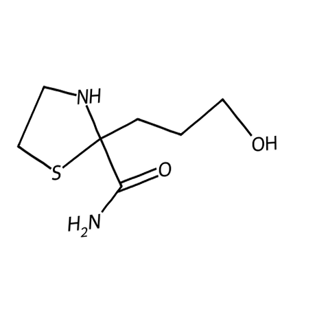 NC(=O)C1(CCCO)NCCS1